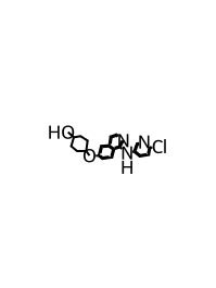 OC1CCC(Oc2ccc3c(Nc4ccc(Cl)nc4)nccc3c2)CC1